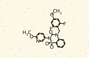 COc1cc(F)c(CN2C(=O)N(c3ccc(OC)nc3)S(=O)(=O)c3ccccc32)c(F)c1